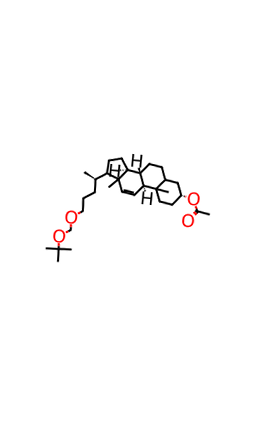 CC(=O)O[C@@H]1CCC2(C)C(CC[C@H]3[C@@H]4CCC([C@H](C)CCCOCOC(C)(C)C)C4(C)C=C[C@@H]32)C1